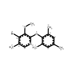 COc1c(Oc2c(C)cc(C)cc2C)ncc(C)c1Br